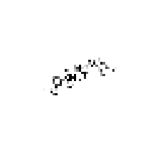 O=S(=O)(c1cccc(OC(F)F)c1)N1CCN2C[C@H](Oc3cnc(C4CC4)cn3)C[C@H]2C1